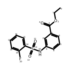 CCOC(=O)c1cccc(NS(=O)(=O)c2ccccc2F)c1